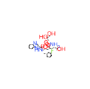 CC(C)(O)CCC(CC(OC(=O)OCC(O)CO)[C@H](Cc1cccc(F)c1)NC(=O)c1cnc2ccccc2n1)C(N)=O